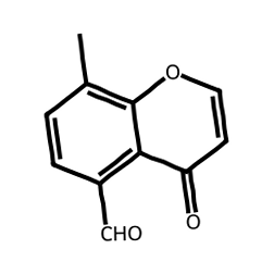 Cc1ccc(C=O)c2c(=O)ccoc12